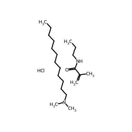 C=C(C)C(=O)NCCC.CCCCCCCCCCCCN(C)C.Cl